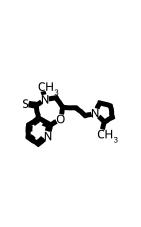 CC1CCCN1CCC1CN(C)C(=S)c2cccnc2O1